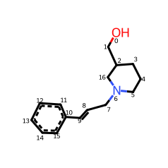 OCC1CCCN(C/C=C/c2ccccc2)C1